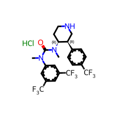 CN(C(=O)N(C)[C@@H]1CCNC[C@H]1c1ccc(C(F)(F)F)cc1)c1cc(C(F)(F)F)cc(C(F)(F)F)c1.Cl